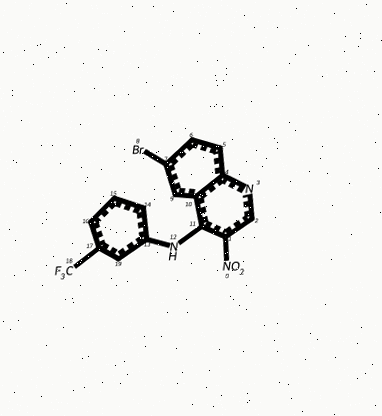 O=[N+]([O-])c1cnc2ccc(Br)cc2c1Nc1cccc(C(F)(F)F)c1